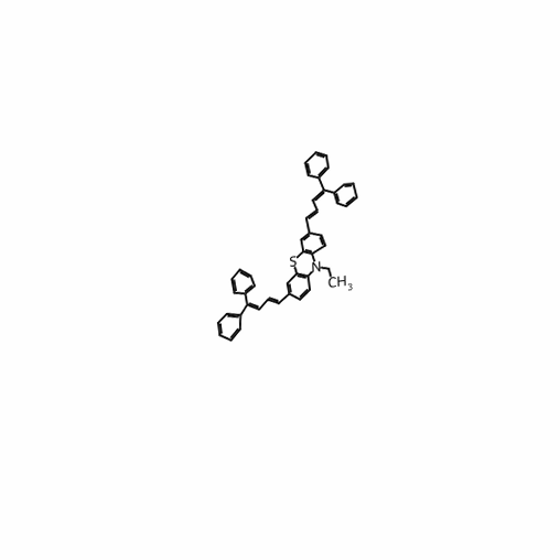 CCN1c2ccc(C=CC=C(c3ccccc3)c3ccccc3)cc2Sc2cc(C=CC=C(c3ccccc3)c3ccccc3)ccc21